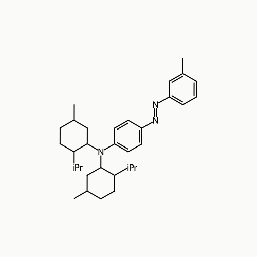 Cc1cccc(/N=N/c2ccc(N(C3CC(C)CCC3C(C)C)C3CC(C)CCC3C(C)C)cc2)c1